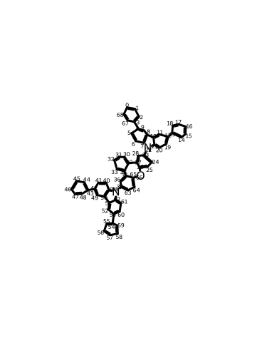 c1ccc(-c2ccc3c(c2)c2cc(-c4ccccc4)ccc2n3-c2ccc3c(c2)-c2ccccc2-c2cc(-n4c5ccc(-c6ccccc6)cc5c5cc(-c6ccccc6)ccc54)ccc2O3)cc1